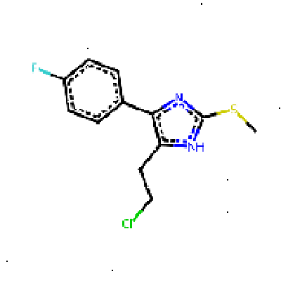 CSc1nc(-c2ccc(F)cc2)c(CCCl)[nH]1